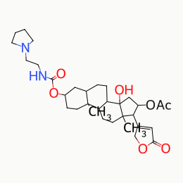 CC(=O)OC1CC2(O)C3CCC4CC(OC(=O)NCCN5CCCC5)CCC4(C)C3CCC2(C)C1C1=CC(=O)OC1